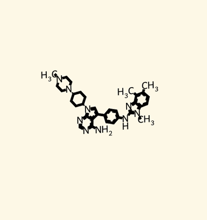 Cc1ccc2c(nc(Nc3ccc(-c4cn([C@H]5CC[C@@H](N6CCN(C)CC6)CC5)c5ncnc(N)c45)cc3)n2C)c1C